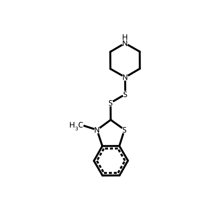 CN1c2ccccc2SC1SSN1CCNCC1